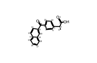 C[C@H](C(=O)O)c1ccc(C(=O)c2ccc3ccccc3c2)cc1